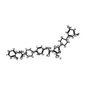 O=C(Nc1ccc(N2CCN(C(=O)Nc3ccccc3F)CC2)nc1)c1oc(N2CCC(c3cc(F)cc(F)c3)CC2)nc1C(F)(F)F